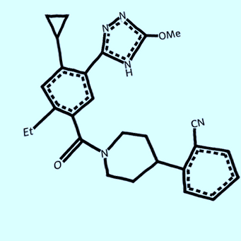 CCc1cc(C2CC2)c(-c2nnc(OC)[nH]2)cc1C(=O)N1CCC(c2ccccc2C#N)CC1